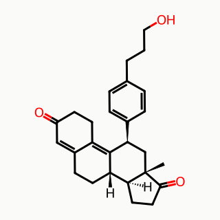 C[C@]12C[C@H](c3ccc(CCCO)cc3)C3=C4CCC(=O)C=C4CC[C@H]3[C@@H]1CCC2=O